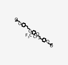 FC(F)(F)c1c(OCCCc2ccc(OCC3CO3)cc2)ccc(OCCCc2ccc(OCC3CO3)cc2)c1C(F)(F)F